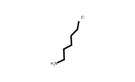 CCCCCCN.[C]